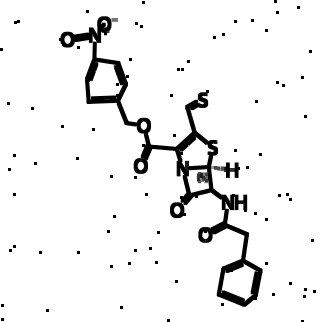 O=C(Cc1ccccc1)NC1C(=O)N2C(C(=O)OCc3ccc([N+](=O)[O-])cc3)=C(C=S)S[C@@H]12